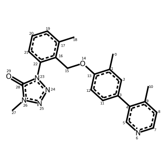 Cc1cc(-c2cnccc2C)ccc1OCc1c(C)cccc1-n1nnn(C)c1=O